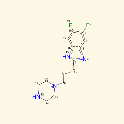 Fc1cc2nc(SCCN3CCNCC3)[nH]c2cc1F